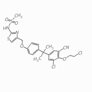 CC(C)(c1ccc(OCc2csc(NS(C)(=O)=O)n2)cc1)c1cc(Cl)c(OCCCl)c(C#N)c1